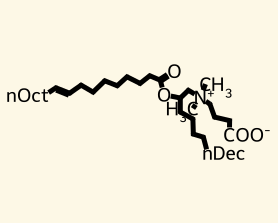 CCCCCCCCC=CCCCCCCCC(=O)OC(CCCCCCCCCCCCCC)C[N+](C)(C)CCCC(=O)[O-]